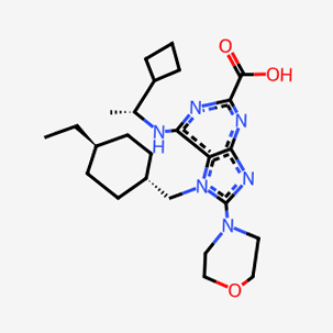 CC[C@H]1CC[C@H](Cn2c(N3CCOCC3)nc3nc(C(=O)O)nc(N[C@H](C)C4CCC4)c32)CC1